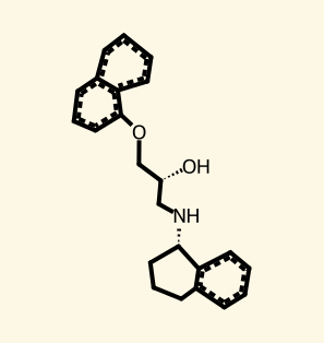 O[C@H](CN[C@H]1CCCc2ccccc21)COc1cccc2ccccc12